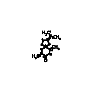 CC(C)=C1CCC2(C1)CC(C)C(=O)CC2C